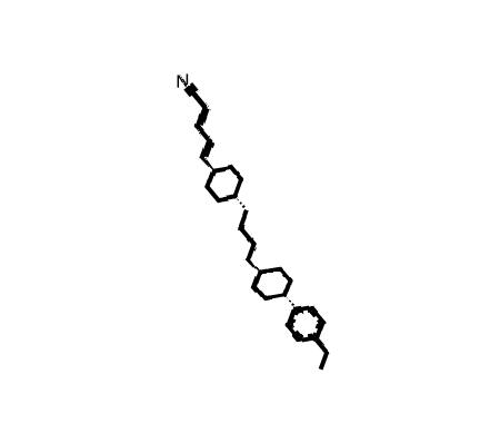 CCc1ccc([C@H]2CC[C@H](CCCC[C@H]3CC[C@H](C=CC=CC#N)CC3)CC2)cc1